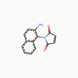 Nc1ccc2ccccc2c1N1C(=O)C=CC1=O